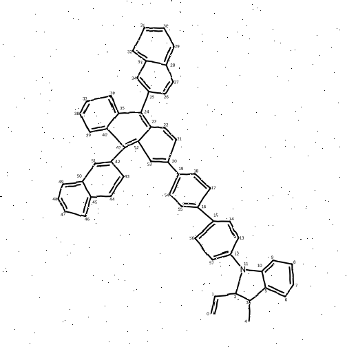 C=CC1C(C)c2ccccc2N1c1ccc(-c2ccc(-c3ccc4c(-c5ccc6ccccc6c5)c5ccccc5c(-c5ccc6ccccc6c5)c4c3)cc2)cc1